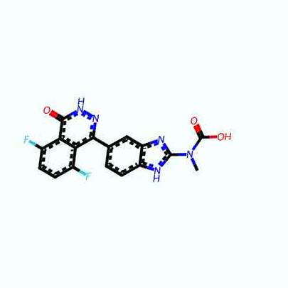 CN(C(=O)O)c1nc2cc(-c3n[nH]c(=O)c4c(F)ccc(F)c34)ccc2[nH]1